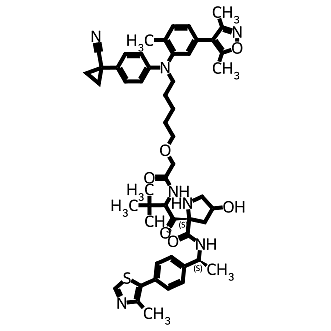 Cc1ccc(-c2c(C)noc2C)cc1N(CCCCCOCC(=O)NC(C(=O)[C@]1(C(=O)N[C@@H](C)c2ccc(-c3scnc3C)cc2)CC(O)CN1)C(C)(C)C)c1ccc(C2(C#N)CC2)cc1